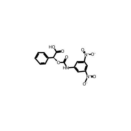 O=C(Nc1cc([N+](=O)[O-])cc([N+](=O)[O-])c1)O[C@H](C(=O)O)c1ccccc1